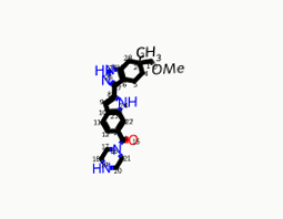 COC[C@@]1(C)CCc2c(-c3cc4ccc(C(=O)N5CCNCC5)cc4[nH]3)n[nH]c2C1